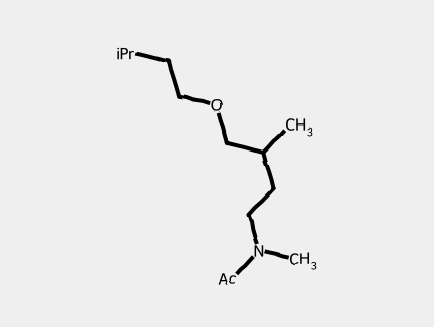 CC(=O)N(C)CCC(C)COCCC(C)C